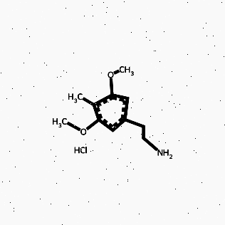 COc1cc(CCN)cc(OC)c1C.Cl